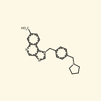 O=C(O)c1ccc2c(c1)ncc1ncn(Cc3ccc(CN4CCCC4)cc3)c12